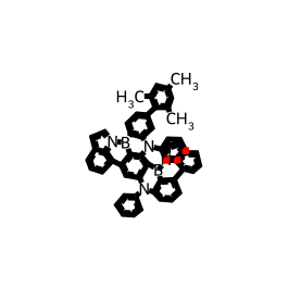 Cc1cc(C)c(-c2ccc3c(c2)N(c2ccccc2)c2c4c(cc5c2B2c6c(cccc6N5c5ccccc5)-c5cccc6ccn2c56)-c2cccc5ccn(c25)B34)c(C)c1